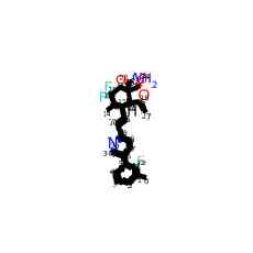 Cc1cccc(-c2ccc(C=CC3C(C)C(F)(F)CC4(C(N)=O)C(=O)OC(C)[C@@H]34)nc2)c1F